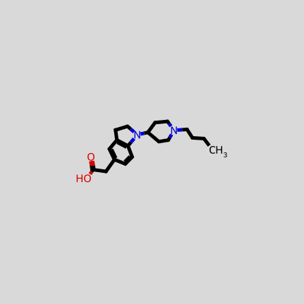 CCCCN1CCC(N2CCc3cc(CC(=O)O)ccc32)CC1